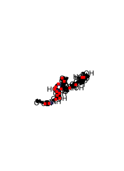 CCN(C(C)=O)[C@H]1CO[C@@H](OC2[C@H](O[C@H]3C#C/C=C\C#C[C@]4(O)CC(=O)C(NC(=O)CO)=C3/C4=C\CSSC(C)(C)CC(=O)N/N=C(\C)c3ccc(OCCCC(C)=O)cc3)OC(C)[C@@H](NO[C@H]3C[C@@H](O)[C@H](SC(=O)c4c(C)c(I)c(O[C@@H]5OC(C)[C@H](O)[C@H](OC)C5O)c(CO)c4OC)C(C)O3)[C@H]2O)C[C@H]1OC